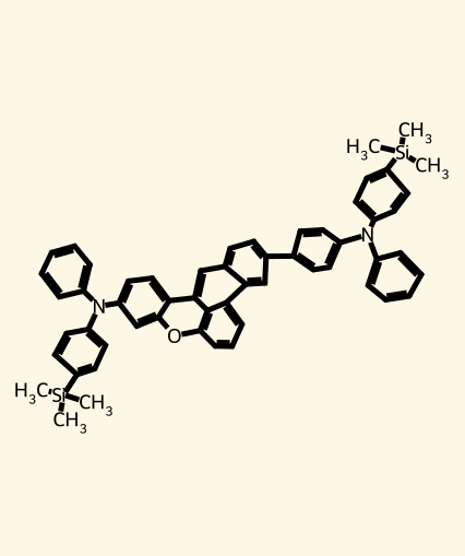 C[Si](C)(C)c1ccc(N(c2ccccc2)c2ccc(-c3ccc4cc5c6c(cccc6c4c3)Oc3cc(N(c4ccccc4)c4ccc([Si](C)(C)C)cc4)ccc3-5)cc2)cc1